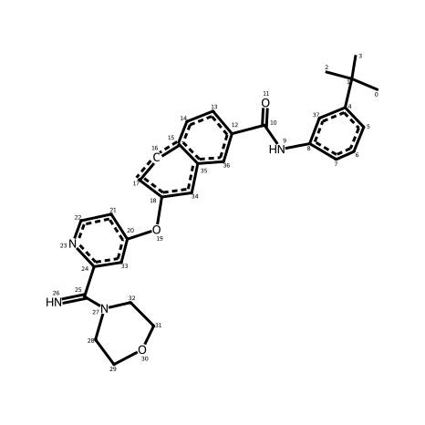 CC(C)(C)c1cccc(NC(=O)c2ccc3ccc(Oc4ccnc(C(=N)N5CCOCC5)c4)cc3c2)c1